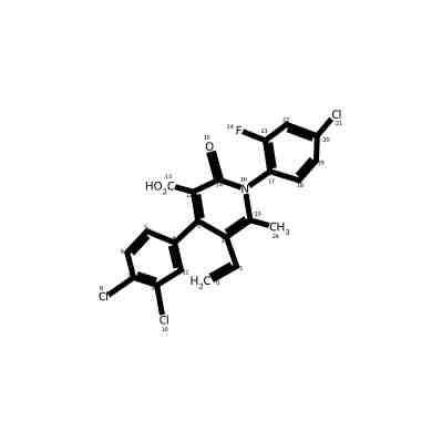 C=Cc1c(-c2ccc(Cl)c(Cl)c2)c(C(=O)O)c(=O)n(-c2ccc(Cl)cc2F)c1C